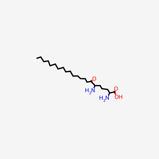 CCCCCCCCCCCCCCCC(=O)C(N)CCCC(N)C(=O)O